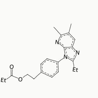 CCC(=O)OCCc1ccc(-n2c(CC)nc3cc(C)c(C)nc32)cc1